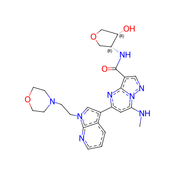 CNc1cc(-c2cn(CCN3CCOCC3)c3ncccc23)nc2c(C(=O)N[C@@H]3COC[C@@H]3O)cnn12